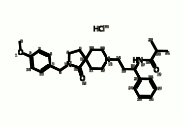 COc1ccc(CN2CCC3(CCN(CCC(NC(=O)C(C)C)c4ccccc4)CC3)C2=O)cc1.Cl